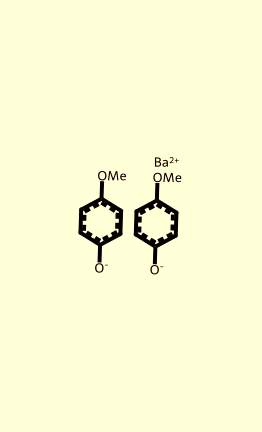 COc1ccc([O-])cc1.COc1ccc([O-])cc1.[Ba+2]